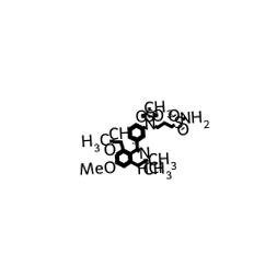 COc1cc2c(c3c1OC(C)(C)C3)C(c1cccc(N(CCCS(N)(=O)=O)S(C)(=O)=O)c1)=NC(C)(C)C2.Cl